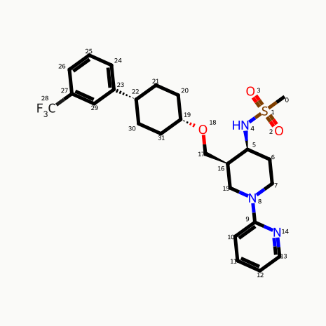 CS(=O)(=O)N[C@H]1CCN(c2ccccn2)C[C@H]1CO[C@H]1CC[C@@H](c2cccc(C(F)(F)F)c2)CC1